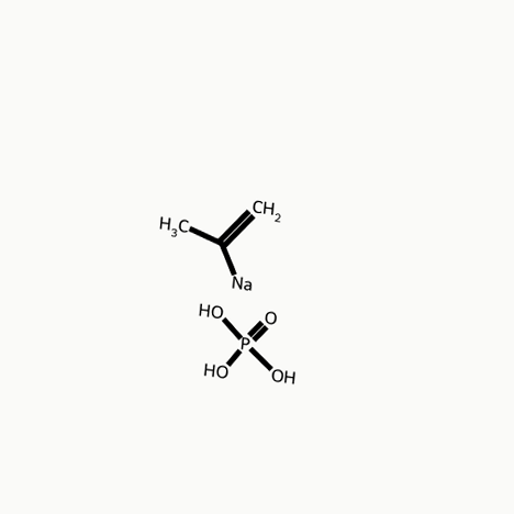 C=[C](C)[Na].O=P(O)(O)O